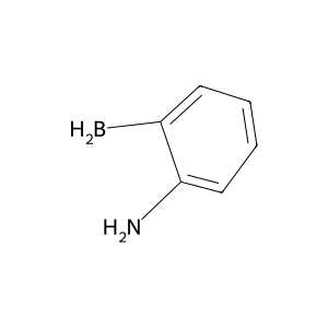 Bc1ccccc1N